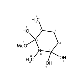 COC1(O)C(C)CCC(O)(O)N1C